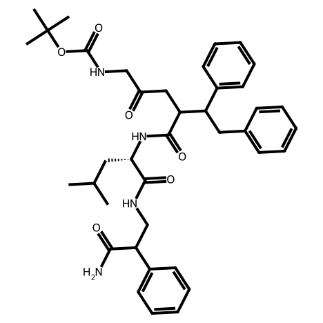 CC(C)C[C@H](NC(=O)C(CC(=O)CNC(=O)OC(C)(C)C)C(Cc1ccccc1)c1ccccc1)C(=O)NCC(C(N)=O)c1ccccc1